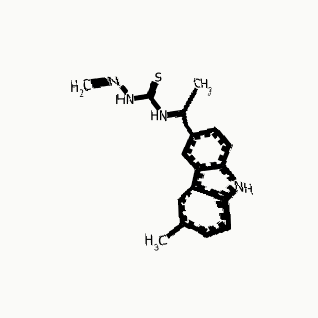 C=NNC(=S)NC(C)c1ccc2[nH]c3ccc(C)cc3c2c1